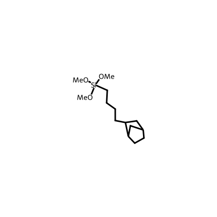 CO[Si](CCCCC1CC2CCC1C2)(OC)OC